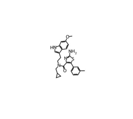 COc1ccc2c(CCN(CC3CC3)C(=O)c3nc(N)sc3-c3cccc(C)c3)c[nH]c2c1